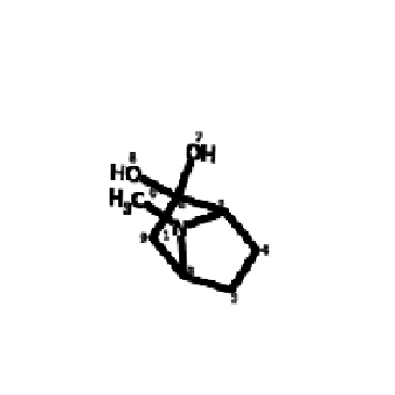 CN1C2CCC1C(O)(O)C2